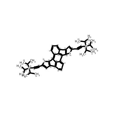 CC(C)[Si](C#Cc1cc2c3cccc4c3c(c3cccc5c6cc(C#C[Si](C(C)C)(C(C)C)C(C)C)sc6c4c53)c2s1)(C(C)C)C(C)C